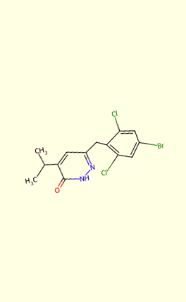 CC(C)c1cc(Cc2c(Cl)cc(Br)cc2Cl)n[nH]c1=O